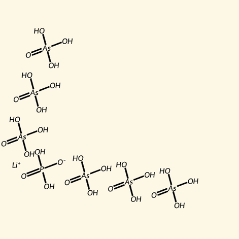 O=P([O-])(O)O.O=[As](O)(O)O.O=[As](O)(O)O.O=[As](O)(O)O.O=[As](O)(O)O.O=[As](O)(O)O.O=[As](O)(O)O.[Li+]